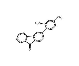 Cc1ccc(-c2ccc3c(c2)-c2ccccc2C3=O)c(C)c1